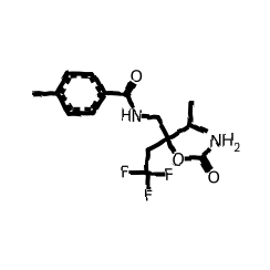 Cc1ccc(C(=O)NCC(CC(F)(F)F)(OC(N)=O)C(C)C)cc1